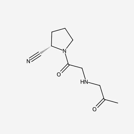 CC(=O)CNCC(=O)N1CCC[C@H]1C#N